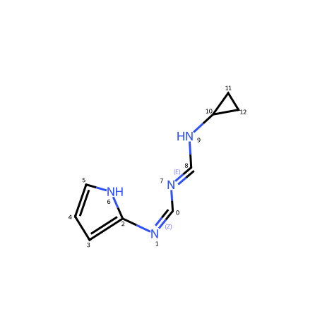 C(=N/c1ccc[nH]1)/N=C/NC1CC1